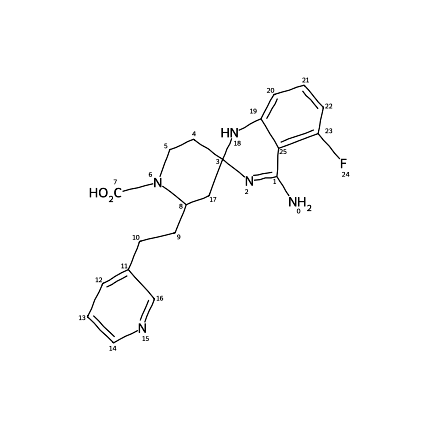 NC1=NC2(CCN(C(=O)O)C(CCc3cccnc3)C2)Nc2cccc(F)c21